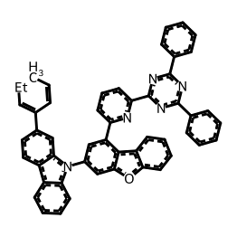 C/C=C\C(=C/CC)c1ccc2c3ccccc3n(-c3cc(-c4cccc(-c5nc(-c6ccccc6)nc(-c6ccccc6)n5)n4)c4c(c3)oc3ccccc34)c2c1